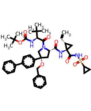 C=C[C@@H]1C[C@]1(NC(=O)[C@@H]1C[C@@](OCc2ccccc2)(c2ccc(-c3ccccc3)cc2)CN1C(=O)[C@@H](NC(=O)OC(C)(C)C)C(C)(C)C)C(=O)NS(=O)(=O)C1CC1